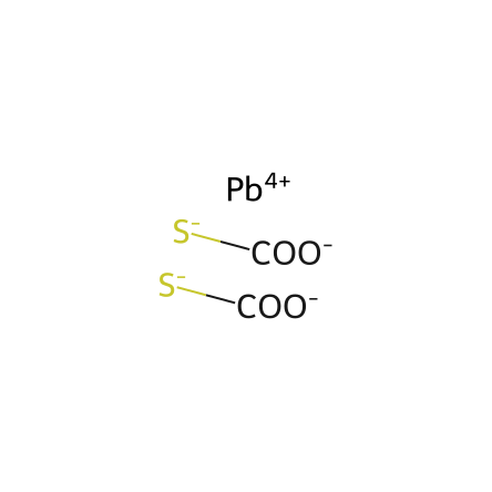 O=C([O-])[S-].O=C([O-])[S-].[Pb+4]